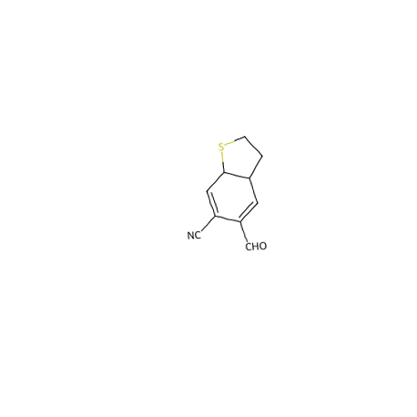 N#CC1=CC2SCCC2C=C1C=O